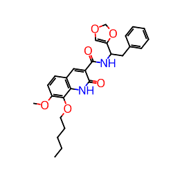 CCCCCOc1c(OC)ccc2cc(C(=O)NC(Cc3ccccc3)C3=COCO3)c(=O)[nH]c12